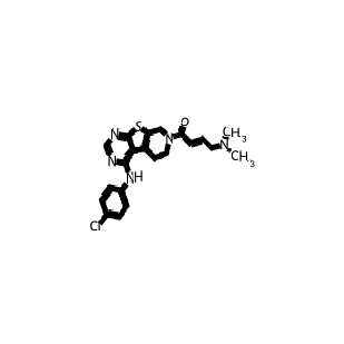 CN(C)C/C=C/C(=O)N1CCc2c(sc3ncnc(Nc4ccc(Cl)cc4)c23)C1